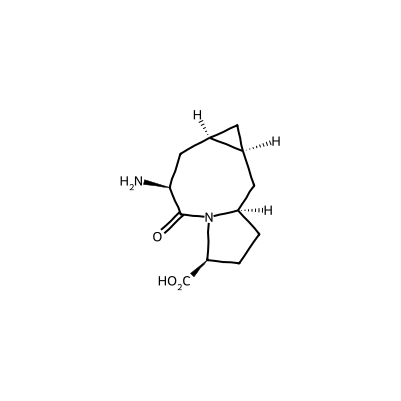 N[C@H]1C[C@H]2C[C@H]2C[C@H]2CC[C@@H](C(=O)O)N2C1=O